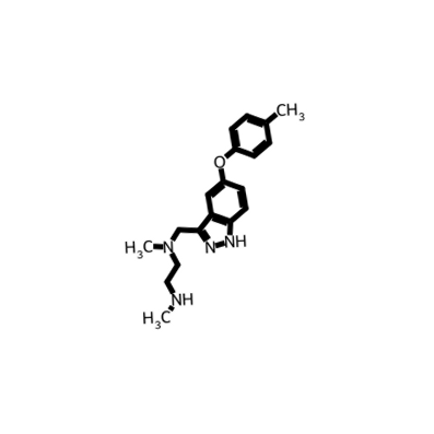 CNCCN(C)Cc1n[nH]c2ccc(Oc3ccc(C)cc3)cc12